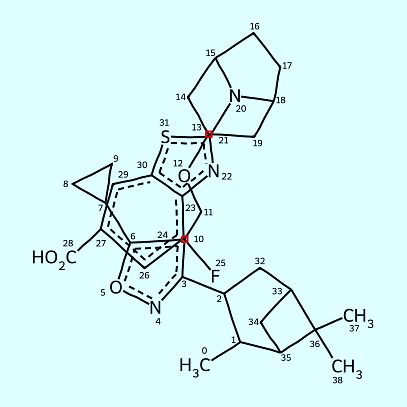 CC1C(c2noc(C3CC3)c2COC2CC3CCC(C2)N3c2nc3c(F)cc(C(=O)O)cc3s2)CC2CC1C2(C)C